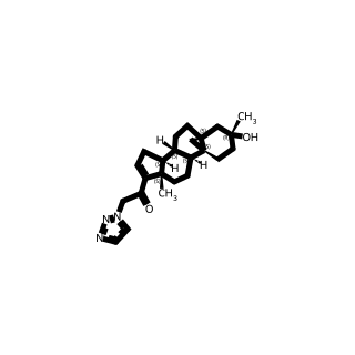 C[C@@]1(O)CC[C@@]23C[C@@]2(CC[C@@H]2[C@@H]3CC[C@]3(C)C(C(=O)Cn4ccnn4)=CC[C@@H]23)C1